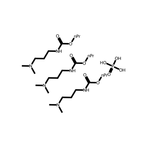 CCCOC(=O)NCCCN(C)C.CCCOC(=O)NCCCN(C)C.CCCOC(=O)NCCCN(C)C.O=P(O)(O)O